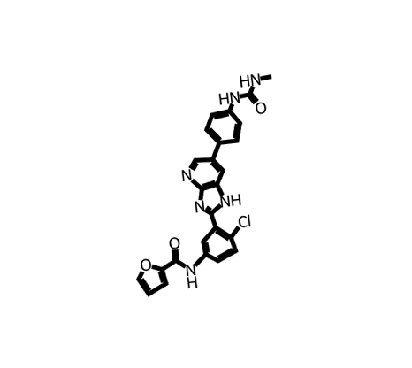 CNC(=O)Nc1ccc(-c2cnc3nc(-c4cc(NC(=O)c5ccco5)ccc4Cl)[nH]c3c2)cc1